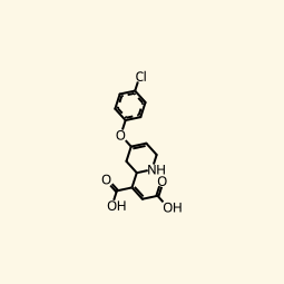 O=C(O)/C=C(/C(=O)O)C1CC(Oc2ccc(Cl)cc2)=CCN1